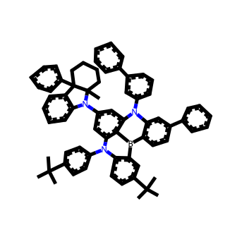 CC(C)(C)c1ccc(N2c3ccc(C(C)(C)C)cc3B3c4ccc(-c5ccccc5)cc4N(c4cccc(-c5ccccc5)c4)c4cc(N5c6ccccc6C6(c7ccccc7)CCCCC56C)cc2c43)cc1